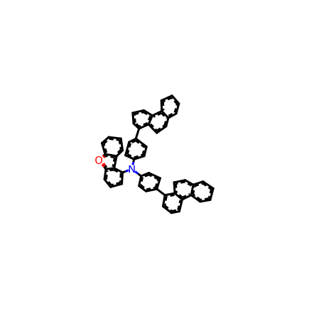 c1ccc2c(c1)ccc1c(-c3ccc(N(c4ccc(-c5cccc6c5ccc5ccccc56)cc4)c4cccc5oc6ccccc6c45)cc3)cccc12